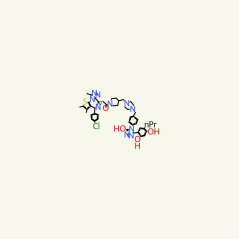 CCCc1cc(-c2nnc(O)n2-c2ccc(CN3CCN(CC4CCN(C(=O)C[C@@H]5N=C(c6ccc(Cl)cc6)c6c(sc(C)c6C)-n6c(C)nnc65)CC4)CC3)cc2)c(O)cc1O